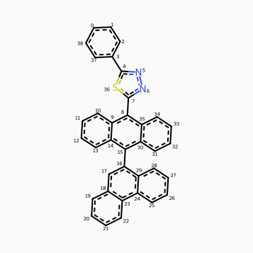 c1ccc(-c2nnc(-c3c4ccccc4c(-c4cc5ccccc5c5ccccc45)c4ccccc34)s2)cc1